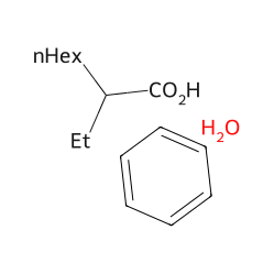 CCCCCCC(CC)C(=O)O.O.c1ccccc1